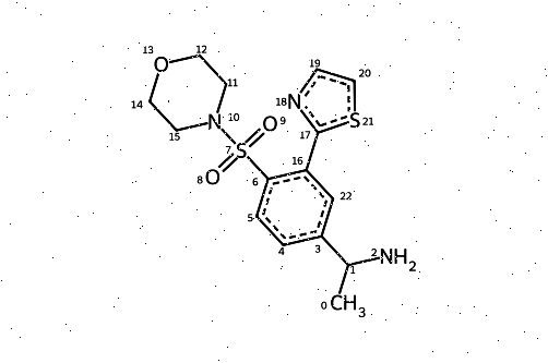 CC(N)c1ccc(S(=O)(=O)N2CCOCC2)c(-c2nccs2)c1